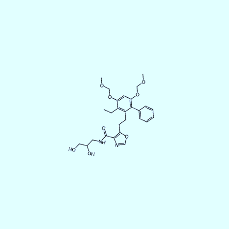 CCc1c(OCOC)cc(OCOC)c(-c2ccccc2)c1CCc1ocnc1C(=O)NCC(O)CO